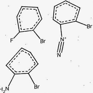 Fc1ccccc1Br.N#[N+]c1ccccc1Br.Nc1ccccc1Br